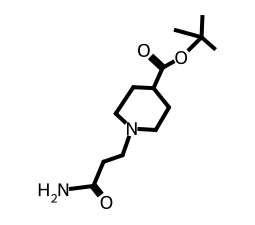 CC(C)(C)OC(=O)C1CCN(CCC(N)=O)CC1